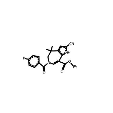 CC(C)OC(=O)C1=CN(C(=O)c2ccc(F)cc2)CC(C)(C)c2cc(C#N)[nH]c21